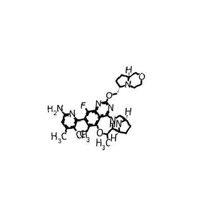 Cc1cc(N)nc(-c2c(Cl)c3c4c(nc(OC[C@@H]5CC[C@H]6COCCN65)nc4c2F)N2C[C@H]4CC[C@H](N4)C2C(C)O3)c1C(F)(F)F